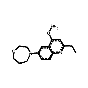 CCc1cc(ON)c2cc(N3CCCOCC3)ccc2n1